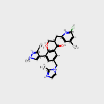 CCn1cc(-c2cc(Cn3ccnc3C)cc3c2OCC(Cc2cc(C)cc(Cl)n2)C3=O)c(C(F)(F)F)n1